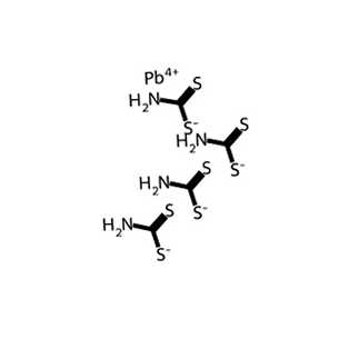 NC(=S)[S-].NC(=S)[S-].NC(=S)[S-].NC(=S)[S-].[Pb+4]